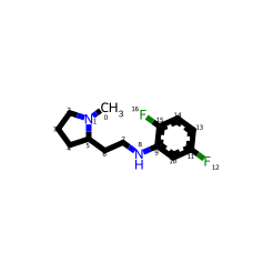 CN1CCCC1CCNc1cc(F)c[c]c1F